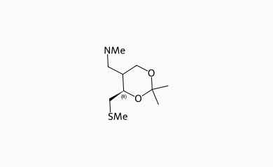 CNCC1COC(C)(C)O[C@H]1CSC